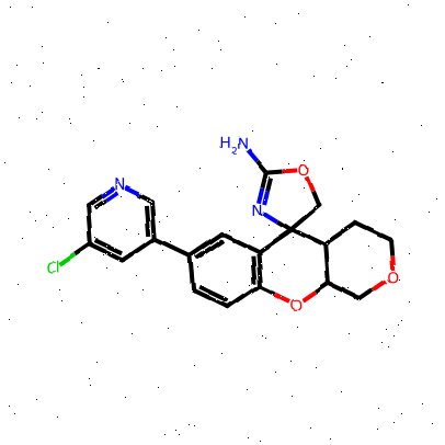 NC1=NC2(CO1)c1cc(-c3cncc(Cl)c3)ccc1OC1COCCC12